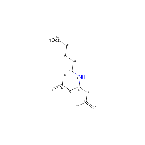 C=C(C)CC(CC(=C)C)NCCCCCCCCCCCC